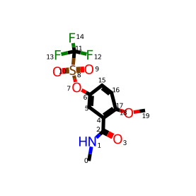 CNC(=O)c1cc(OS(=O)(=O)C(F)(F)F)ccc1OC